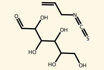 C=CCN=C=S.O=CC(O)C(O)C(O)C(O)CO